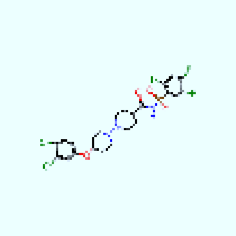 O=C(NS(=O)(=O)c1cc(F)c(F)cc1F)C1CCN(N2CCC(Oc3ccc(Cl)c(Cl)c3)CC2)CC1